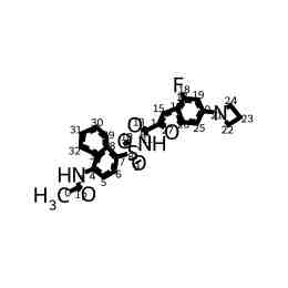 CC(=O)Nc1ccc(S(=O)(=O)NC(=O)c2cc3c(F)cc(N4CCC4)cc3o2)c2ccccc12